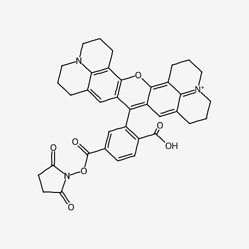 O=C(ON1C(=O)CCC1=O)c1ccc(C(=O)O)c(C2=c3cc4c5c(c3Oc3c2cc2c6c3CCCN6CCC2)CCC[N+]=5CCC4)c1